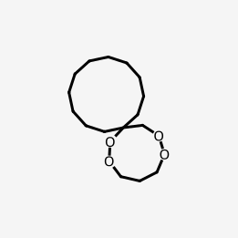 C1CCCCCC2(CCCCC1)COOCCCOO2